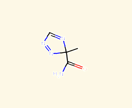 CC1(C(N)=O)N=[C]N=N1